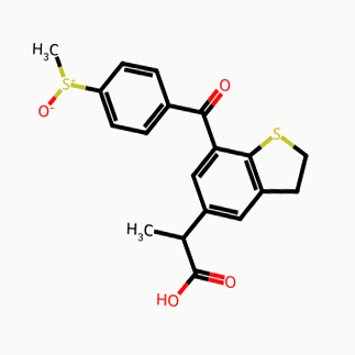 CC(C(=O)O)c1cc2c(c(C(=O)c3ccc([S+](C)[O-])cc3)c1)SCC2